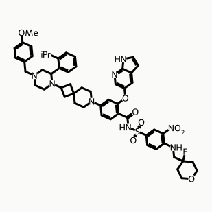 COc1ccc(CN2CCN(C3CC4(CCN(c5ccc(C(=O)NS(=O)(=O)c6ccc(NCC7(F)CCOCC7)c([N+](=O)[O-])c6)c(Oc6cnc7[nH]ccc7c6)c5)CC4)C3)C(c3ccccc3C(C)C)C2)cc1